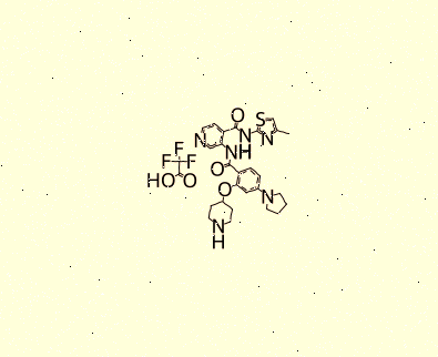 Cc1csc(NC(=O)c2ccncc2NC(=O)c2ccc(N3CCCC3)cc2OC2CCNCC2)n1.O=C(O)C(F)(F)F